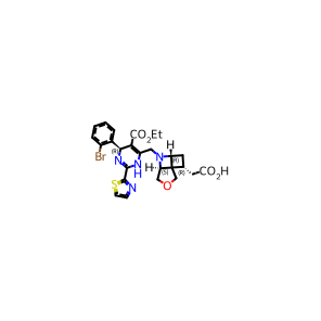 CCOC(=O)C1=C(CN2[C@@H]3COCC34[C@@H](CC(=O)O)C[C@@H]24)NC(c2nccs2)=N[C@H]1c1ccccc1Br